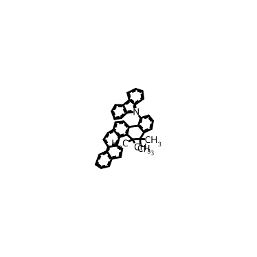 CC1(C)c2cccc(-n3c4ccccc4c4ccccc43)c2-c2ccc3ccc4c5ccccc5ccc4c3c2C1(C)C